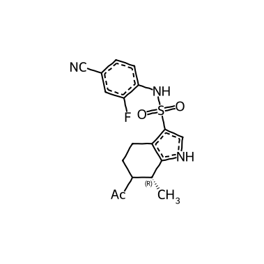 CC(=O)C1CCc2c(S(=O)(=O)Nc3ccc(C#N)cc3F)c[nH]c2[C@@H]1C